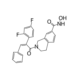 O=C(NO)c1ccc2c(c1)CN(C(=O)C(=Cc1ccccc1)c1ccc(F)cc1F)CC2